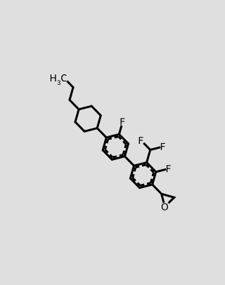 CCCC1CCC(c2ccc(-c3ccc(C4CO4)c(F)c3C(F)F)cc2F)CC1